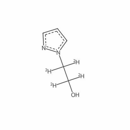 [2H]C([2H])(O)C([2H])([2H])n1cccn1